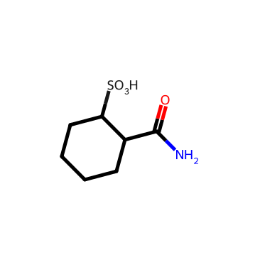 NC(=O)C1CCCCC1S(=O)(=O)O